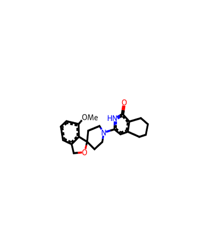 COc1cccc2c1C1(CCN(c3cc4c(c(=O)[nH]3)CCCC4)CC1)OC2